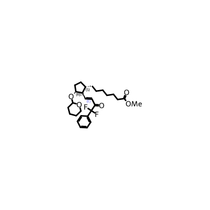 COC(=O)CCCCCC[C@H]1CC[C@@H](OC2CCCCO2)[C@@H]1/C=C/C(=O)C(F)(F)c1ccccc1